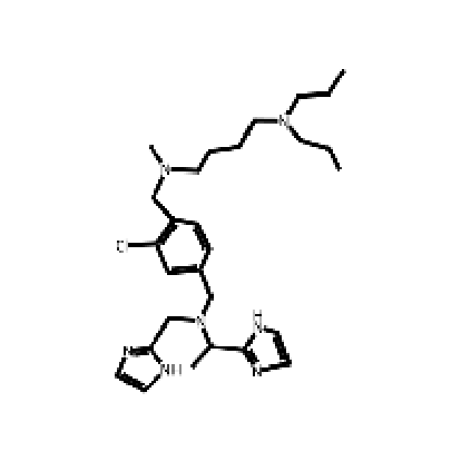 CCCN(CCC)CCCCN(C)Cc1ccc(CN(Cc2ncc[nH]2)C(C)c2ncc[nH]2)cc1Cl